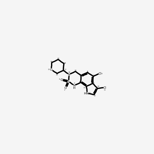 O=S1(=O)Nc2c(cc(Cl)c3c(Cl)c[nH]c23)CN1C1CCCOC1